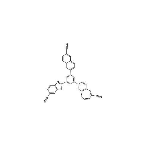 N#CC1=Cc2ccc(-c3cc(-c4ccc5cc(C#N)ccc5c4)cc(-c4nc5ccc(C#N)cc5s4)c3)cc2CC=C1